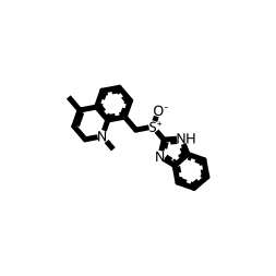 CC1=CCN(C)c2c(C[S+]([O-])c3nc4ccccc4[nH]3)cccc21